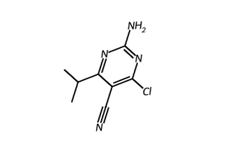 CC(C)c1nc(N)nc(Cl)c1C#N